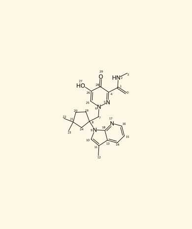 C=C(NC)c1nn(CC2(n3cc(C)c4cccnc43)CCC(C)(C)C2)cc(O)c1=O